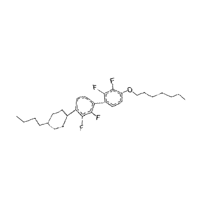 CCCCCCCOc1ccc(-c2ccc(C3CCC(CCCC)CC3)c(F)c2F)c(F)c1F